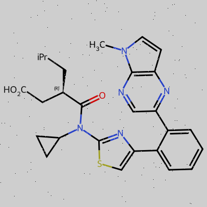 CC(C)C[C@H](CC(=O)O)C(=O)N(c1nc(-c2ccccc2-c2cnc3c(ccn3C)n2)cs1)C1CC1